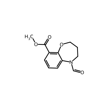 COC(=O)c1cccc2c1OCCCN2C=O